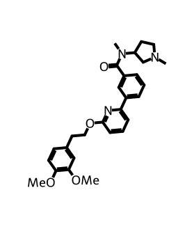 COc1ccc(CCOc2cccc(-c3cccc(C(=O)N(C)C4CCN(C)C4)c3)n2)cc1OC